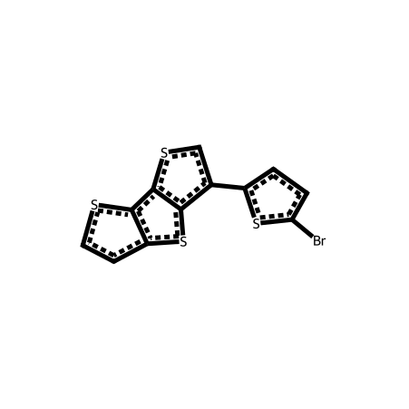 Brc1ccc(-c2csc3c2sc2ccsc23)s1